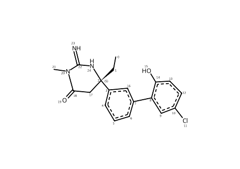 CC[C@@]1(c2cccc(-c3cc(Cl)ccc3O)c2)CC(=O)N(C)C(=N)N1